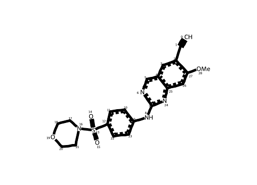 C#Cc1cc2cnc(Nc3ccc(S(=O)(=O)N4CCOCC4)cc3)nc2cc1OC